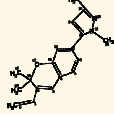 C=CC1=Cc2ccc(-c3cc(C)nn3C)cc2OC1(C)C